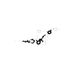 COc1cc(SC)ccc1NCC#Cc1cc2c(NC3CCN(CC(O)COCC(F)(F)F)CC3)cccc2n1CC(F)(F)F